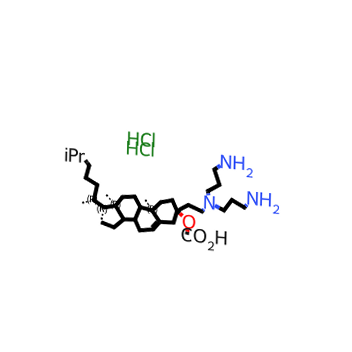 CC(C)CCC[C@@H](C)[C@H]1CCC2C3CC=C4CC(CCN(CCCN)CCCN)(OC(=O)O)CC[C@]4(C)C3CC[C@@]21C.Cl.Cl